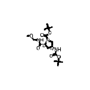 COCNC(=O)[C@@H]1C[C@@H](NC(=O)OC(C)(C)C)CN1C(=O)OC(C)(C)C